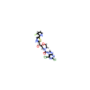 O=C(c1ncc(-c2ncccc2F)s1)[C@@H]1CN(C(=O)n2cnc3nc(Cl)nc(Cl)c32)CCO1